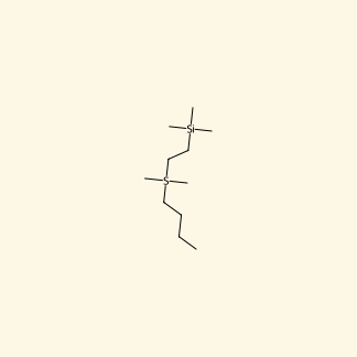 CCCCS(C)(C)CC[Si](C)(C)C